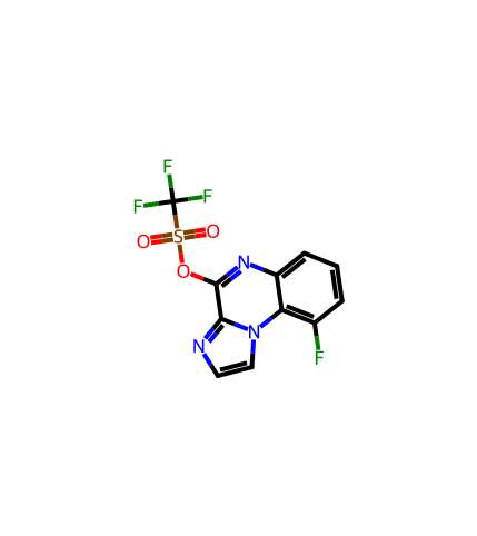 O=S(=O)(Oc1nc2cccc(F)c2n2ccnc12)C(F)(F)F